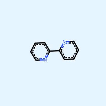 [c]1cccc(-c2ccc[c]n2)n1